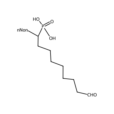 CCCCCCCCCC(CCCCCCCC=O)P(=O)(O)O